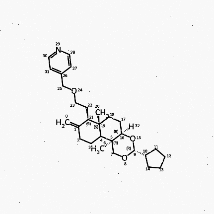 C=C1CCC2[C@]3(C)CO[C@@H](C4CCCC4)O[C@@H]3CC[C@@]2(C)[C@@H]1CCOCc1ccncc1